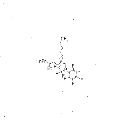 CCCC(CC)CCC(C)CP(c1c(F)c(C)c(F)c(F)c1F)C(F)(F)C(F)CCCCCCC(F)(F)F